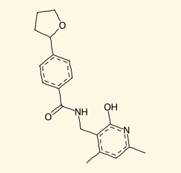 Cc1cc(C)c(CNC(=O)c2ccc(C3CCCO3)cc2)c(O)n1